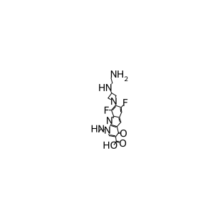 CNn1cc(C(=O)O)c(=O)c2cc3cc(F)c(N4CC(NCCN)C4)c(F)c3nc21